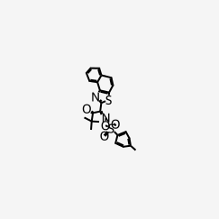 Cc1ccc(S(=O)(=O)O/N=C(\C(=O)C(C)(C)C)c2nc3c(ccc4ccccc43)s2)cc1